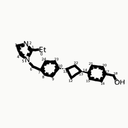 CCc1nccn1Cc1ccc([C@H]2C[C@H](c3ccc(CO)cc3)C2)cc1